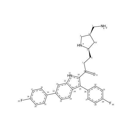 NC[C@@H]1CN[C@H](CCC(=O)c2[nH]c3cc(-c4ccc(F)cc4)ccc3c2-c2ccc(F)cc2)C1